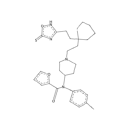 Cc1ccc(N(C(=O)c2ccco2)C2CCN(CCC3(CCc4nc(=S)o[nH]4)CCCCC3)CC2)cc1